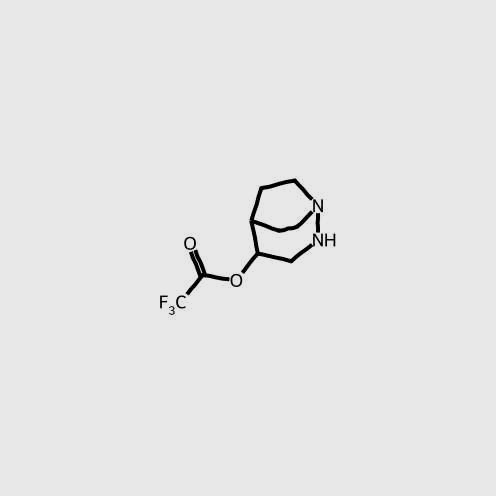 O=C(OC1CNN2CCC1CC2)C(F)(F)F